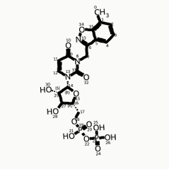 Cc1cccc2c(Cn3c(=O)ccn([C@@H]4O[C@H](COP(=O)(O)OP(=O)(O)O)C(O)[C@@H]4O)c3=O)noc12